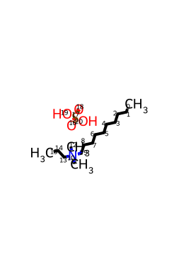 CCCCCCCCCC[N+](C)(C)CCC.O=S(=O)(O)O